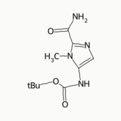 Cn1c(NC(=O)OC(C)(C)C)cnc1C(N)=O